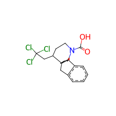 O=C(O)N1CCC(CC(Cl)(Cl)Cl)C23CCCCC12c1ccccc1C3